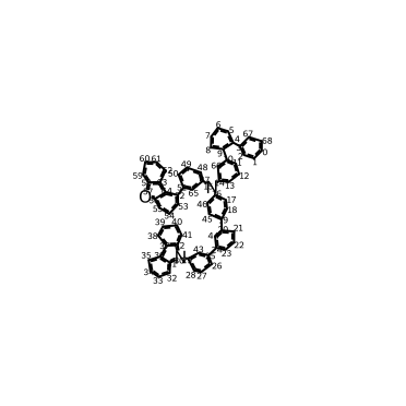 c1ccc(-c2ccccc2-c2cccc(N(c3ccc(-c4cccc(-c5cccc(-n6c7ccccc7c7ccccc76)c5)c4)cc3)c3cccc(-c4cccc5oc6ccccc6c45)c3)c2)cc1